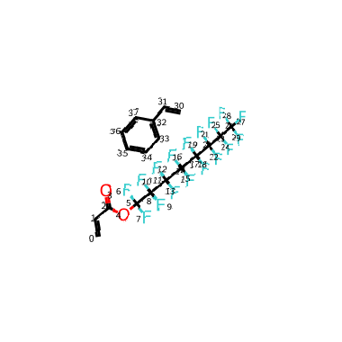 C=CC(=O)OC(F)(F)C(F)(F)C(F)(F)C(F)(F)C(F)(F)C(F)(F)C(F)(F)C(F)(F)F.C=Cc1ccccc1